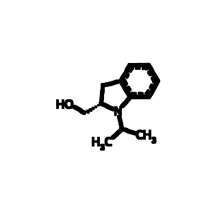 CC(C)N1c2ccccc2C[C@H]1CO